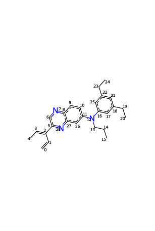 C=C/C(=C\C)c1cnc2ccc(N(CCC)c3cc(CC)cc(CC)c3)cc2n1